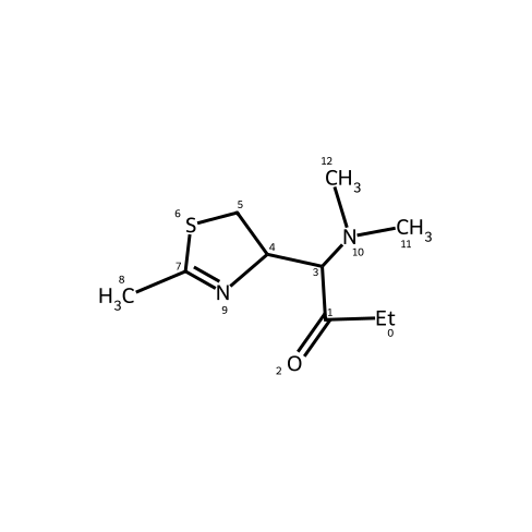 CCC(=O)C(C1CSC(C)=N1)N(C)C